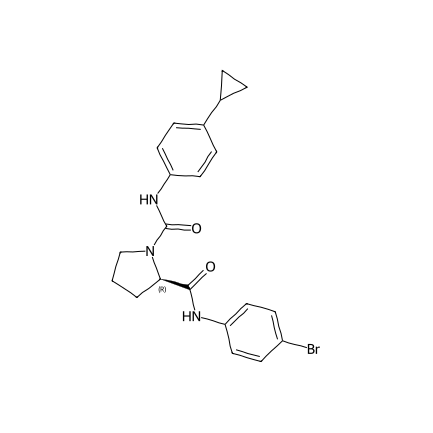 O=C(Nc1ccc(Br)cc1)[C@H]1CCCN1C(=O)Nc1ccc(C2CC2)cc1